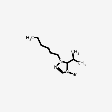 CCCCCCN1N=CN(Br)C1C(C)C